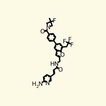 CC1(F)CN(C(=O)c2ccc(-c3cc(CC(F)(F)F)c4oc(CNC(=O)C=Cc5ccc(N)nc5)cc4c3)cc2)C1